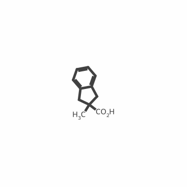 CC1(C(=O)O)Cc2ccccc2C1